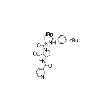 CC(C)C[C@H](NC(=O)c1ccc(C(C)(C)C)cc1)C(=O)N1CCC2C1C(=O)CN2C(=O)c1cccnc1